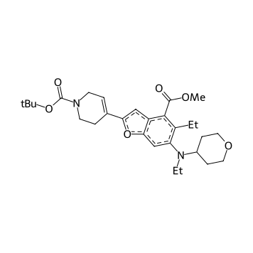 CCc1c(N(CC)C2CCOCC2)cc2oc(C3=CCN(C(=O)OC(C)(C)C)CC3)cc2c1C(=O)OC